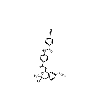 COc1ccc2c(c1)C(=CC(=O)c1ccc(NC(=O)c3ccc(C#N)cc3)cc1)NC(C)(C)C2